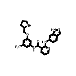 O=C(Nc1cc(OCC2CCCN2)cc(C(F)(F)F)c1)c1cccnc1Nc1ccc2cn[nH]c2c1